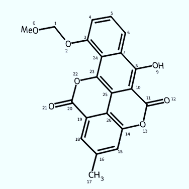 COCOc1cccc2c(O)c3c(=O)oc4cc(C)cc5c(=O)oc(c12)c3c45